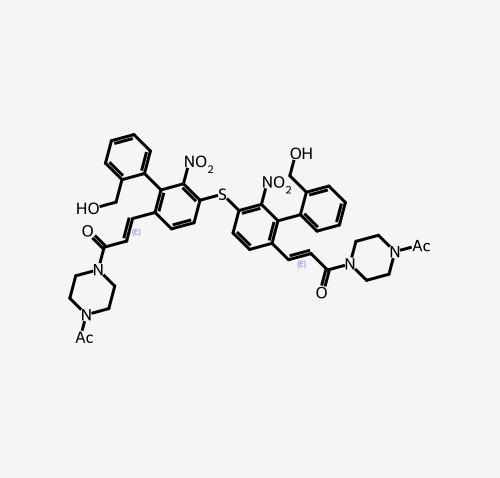 CC(=O)N1CCN(C(=O)/C=C/c2ccc(Sc3ccc(/C=C/C(=O)N4CCN(C(C)=O)CC4)c(-c4ccccc4CO)c3[N+](=O)[O-])c([N+](=O)[O-])c2-c2ccccc2CO)CC1